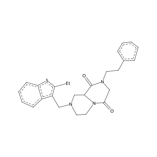 CCc1sc2ccccc2c1CN1CCN2C(=O)CN(CCc3ccccc3)C(=O)C2C1